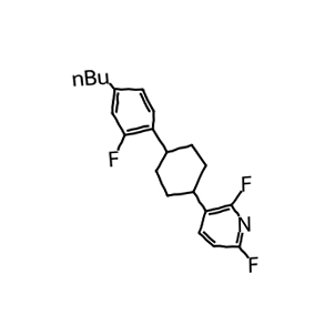 CCCCc1ccc(C2CCC(c3ccc(F)nc3F)CC2)c(F)c1